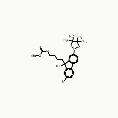 CC(C)(C)OC(=O)NCCCCC1(C)c2cc(Br)ccc2-c2ccc(B3OC(C)(C)C(C)(C)O3)cc21